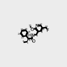 CC[C@H](C(=O)NCc1cc(CF)cnc1OC)c1ccccc1